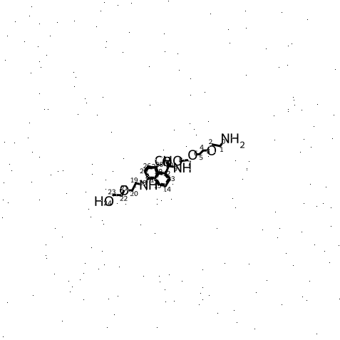 NCCOCCOCCNC(=O)c1cccc2c(NCCOCCO)ccc(C=O)c12